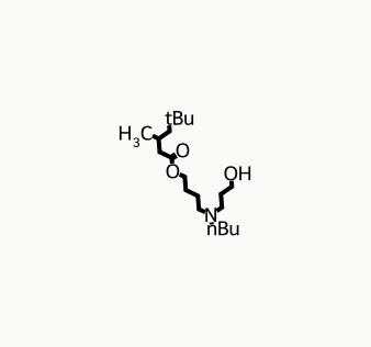 CCCCN(CCCO)CCCCOC(=O)CC(C)CC(C)(C)C